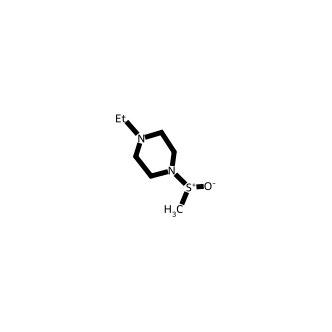 CCN1CCN([S+](C)[O-])CC1